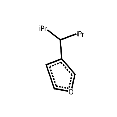 CC(C)C(c1ccoc1)C(C)C